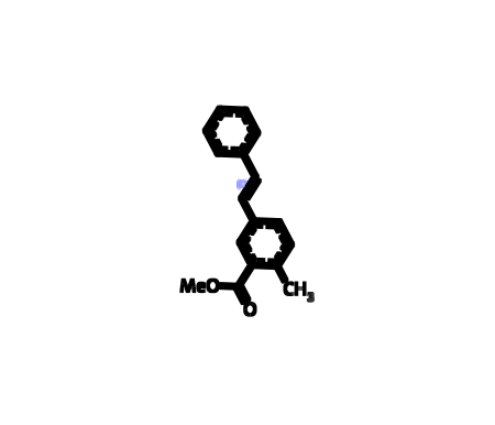 COC(=O)c1cc(/C=C/c2ccccc2)ccc1C